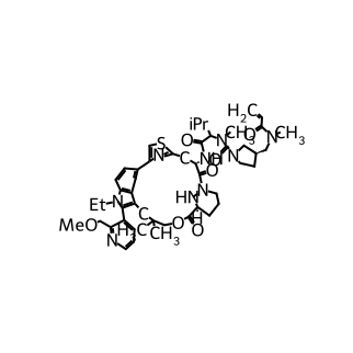 C=CC(=O)N(C)C[C@H]1CCN(C(=O)N(C)C(C(=O)N[C@H]2Cc3nc(cs3)-c3ccc4c(c3)c(c(-c3cccnc3COC)n4CC)CC(C)(C)COC(=O)[C@@H]3CCCN(N3)C2=O)C(C)C)C1